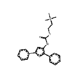 C[Si](C)(C)CCOC(=O)Nc1cc(-c2ccccc2)sc1-c1ccccc1